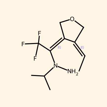 C/C=C1/COC/C1=C(/N(N)C(C)C)C(F)(F)F